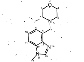 C[C@@H]1COCCN1Cc1cccc2c1ncn2C